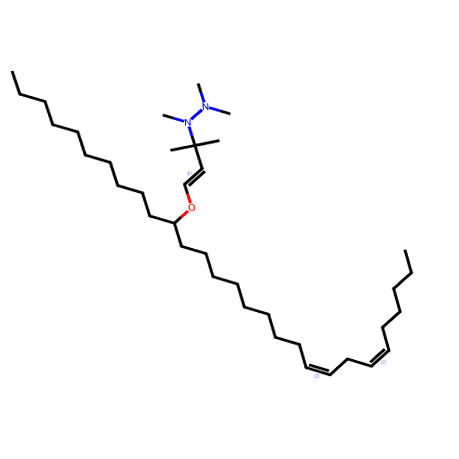 CCCCC/C=C\C/C=C\CCCCCCCCC(CCCCCCCCCC)O/C=C/C(C)(C)N(C)N(C)C